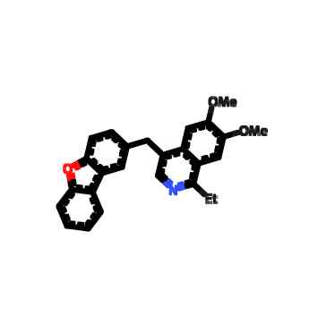 CCc1ncc(Cc2ccc3oc4ccccc4c3c2)c2cc(OC)c(OC)cc12